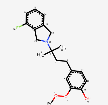 CC(C)OOc1cc(CCC(C)(C)N2Cc3cccc(F)c3C2)ccc1O